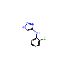 Clc1ccccc1Nc1c[nH]nn1